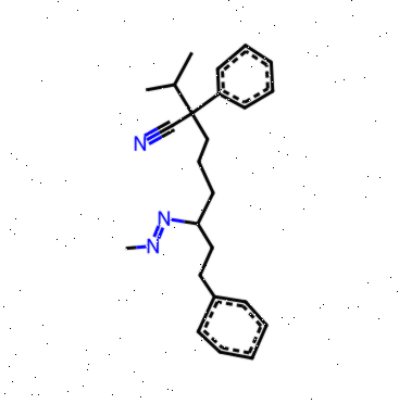 C/N=N/C(CCCC(C#N)(c1ccccc1)C(C)C)CCc1ccccc1